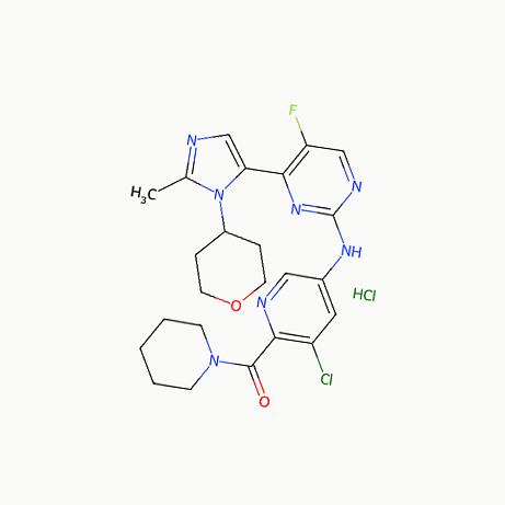 Cc1ncc(-c2nc(Nc3cnc(C(=O)N4CCCCC4)c(Cl)c3)ncc2F)n1C1CCOCC1.Cl